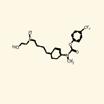 CCN(CCO)CCCCC1CCC(N(C)C(=O)Oc2ccc(C(F)(F)F)cc2)CC1